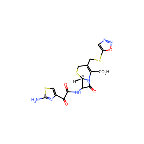 Nc1nc(C(=O)C(=O)NC2C(=O)N3C(C(=O)O)=C(CSc4cnno4)CS[C@@H]23)cs1